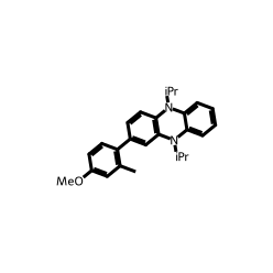 COc1ccc(-c2ccc3c(c2)N(C(C)C)c2ccccc2N3C(C)C)c(C)c1